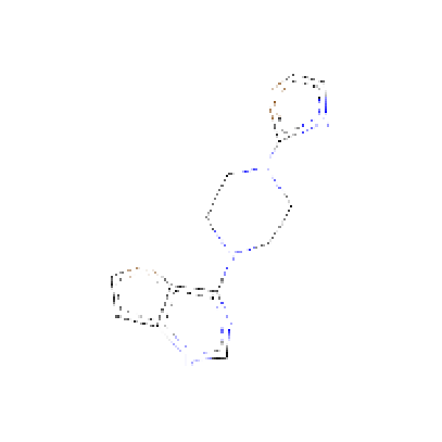 c1csc(N2CCN(c3ncnc4ccsc34)CC2)n1